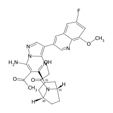 COc1cc(F)cc2cc(-c3cnn4c(N)c(C(C)=O)c([C@@H]5C[C@H]6CC[C@@H](C5)N6C(=O)CO)nc34)cnc12